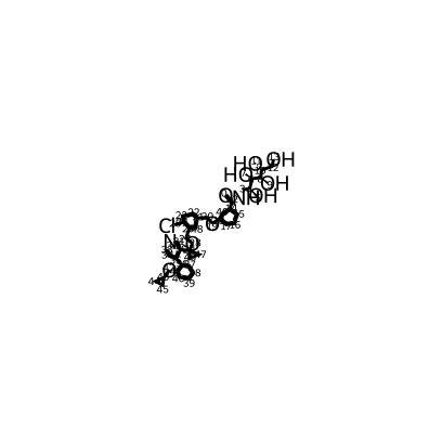 O=C(NC[C@H](O)[C@@H](O)[C@H](O)[C@H](O)CO)c1cccc(OCc2ccc(Cl)c(COC3(c4cnccc4-c4ccccc4OC4CC4)CC3)c2)c1